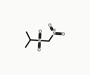 CC(C)S(=O)(=O)C[SH](=O)=O